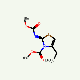 CCOC(=O)Cc1cs/c(=N\C(=O)OC(C)(C)C)n1C(=O)OC(C)(C)C